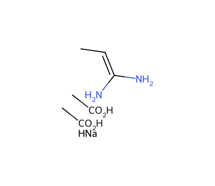 CC(=O)O.CC(=O)O.CC=C(N)N.[NaH]